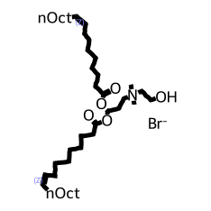 CCCCCCCC/C=C\CCCCCCCC(=O)OC(CC[N+](C)(C)CCO)OC(=O)CCCCCCC/C=C\CCCCCCCC.[Br-]